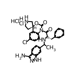 CC(N[C@@H](Cc1ccccc1)C(=O)N1C(=O)O[C@]2(CCNC2)c2cc(Cl)ccc21)c1ccc2c(N)n[nH]c2c1.Cl.Cl